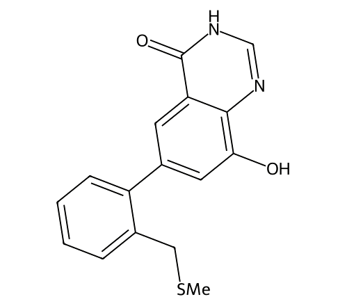 CSCc1ccccc1-c1cc(O)c2nc[nH]c(=O)c2c1